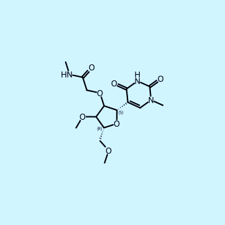 CNC(=O)COC1C(OC)[C@@H](COC)O[C@H]1c1cn(C)c(=O)[nH]c1=O